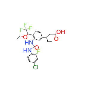 CCO[C@H](c1ccc([C@H](CC)CC(=O)O)cc1NC(=O)Nc1ccc(Cl)cc1F)C(F)(F)F